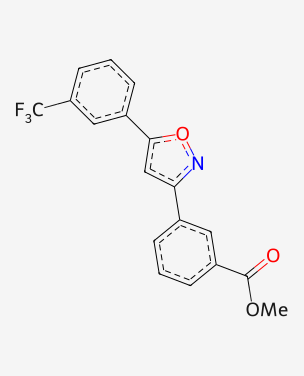 COC(=O)c1cccc(-c2cc(-c3cccc(C(F)(F)F)c3)on2)c1